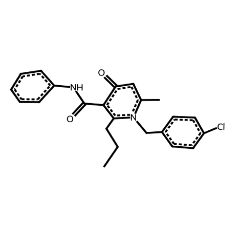 CCCc1c(C(=O)Nc2ccccc2)c(=O)cc(C)n1Cc1ccc(Cl)cc1